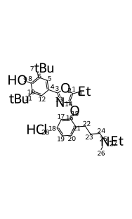 CCc1oc(-c2cc(C(C)(C)C)c(O)c(C(C)(C)C)c2)nc1Oc1ccccc1CCCN(C)CC.Cl